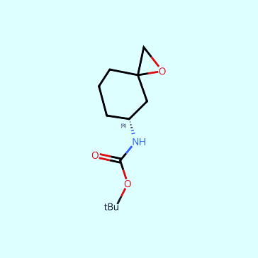 CC(C)(C)OC(=O)N[C@@H]1CCCC2(CO2)C1